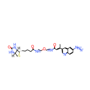 C/C(=C\C(=O)NCCOCCNC(=O)CCCC[C@@H]1SC[C@@H]2NC(=O)N[C@@H]21)c1cnc2ccc(N=[N+]=[N-])cc2c1